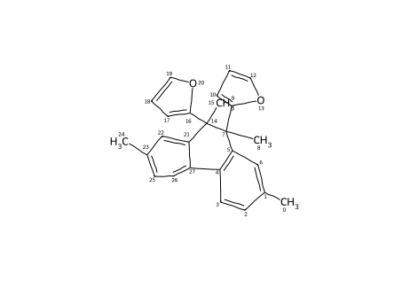 Cc1ccc2c(c1)C(C)(c1ccco1)C(C)(c1ccco1)c1cc(C)ccc1-2